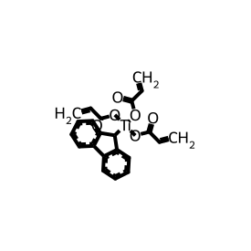 C=CC(=O)[O][Ti]([O]C(=O)C=C)([O]C(=O)C=C)[CH]1c2ccccc2-c2ccccc21